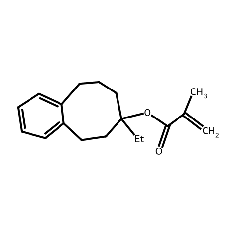 C=C(C)C(=O)OC1(CC)CCCc2ccccc2CC1